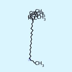 CCC/C=C\CCCCCCCCCCCCCCCCCCOP(=O)(O)C(CC)[N+](C)(C)C